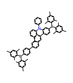 Cc1cc(C)c(B(c2ccc(-c3ccc4cc5c6c(cccc6c4c3)N(c3ccccc3)c3cc(B(c4c(C)cc(C)cc4C)c4c(C)cc(C)cc4C)ccc3-5)cc2)c2c(C)cc(C)cc2C)c(C)c1